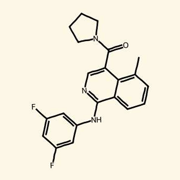 Cc1cccc2c(Nc3cc(F)cc(F)c3)ncc(C(=O)N3CCCC3)c12